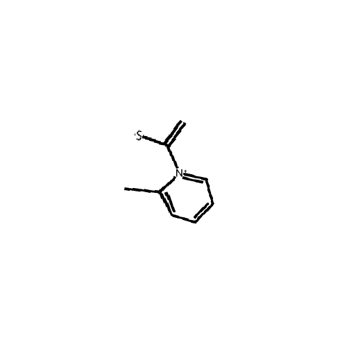 C=C([S])[n+]1ccccc1C